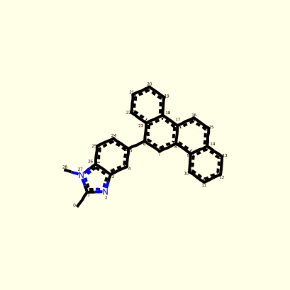 Cc1nc2cc(-c3cc4c5ccccc5ccc4c4ccccc34)ccc2n1C